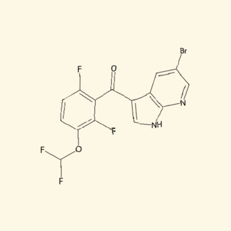 O=C(c1c(F)ccc(OC(F)F)c1F)c1c[nH]c2ncc(Br)cc12